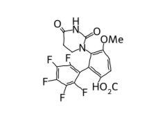 COc1ccc(C(=O)O)c(-c2c(F)c(F)c(F)c(F)c2F)c1N1CCC(=O)NC1=O